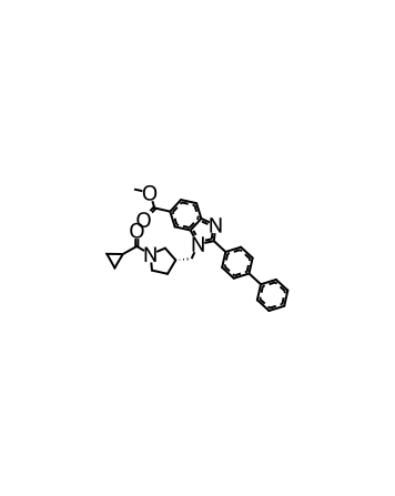 COC(=O)c1ccc2nc(-c3ccc(-c4ccccc4)cc3)n(C[C@@H]3CCN(C(=O)C4CC4)C3)c2c1